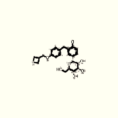 OCC1O[C@@H](c2ccc(Cl)c(Cc3ccc(OCC4COC4)cc3)c2)[C@H](O)[C@@H](O)[C@@H]1O